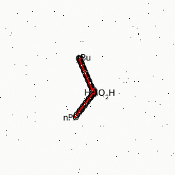 CCCOCCOCCOCCOCCOCCOCCOCCOCCOCCOCCOCCOCCC(=O)N[C@@H](Cc1ccc(OCCOCCOCCOCCOCCOCCOCCOCCOCCOCCOCCOCCOCCC(=O)OC(C)(C)C)cc1)C(=O)O